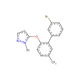 CCn1nccc1Oc1ccc(C(F)(F)F)cc1-c1cccc(Br)c1